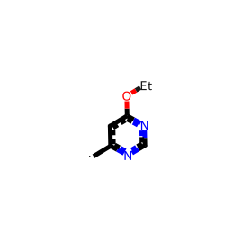 [CH2]c1cc(OCC)ncn1